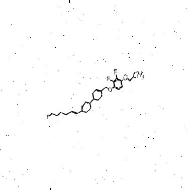 CCOc1ccc(OCC2=CCC(C3CCC(/C=C/CCCCF)CC3)CC2)c(F)c1F